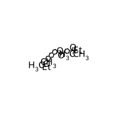 CCC(C)(C)Oc1ccc2cc3ccc(OC(=O)c4ccc(C(=O)C(C)(C)CC)cc4)cc3cc2c1